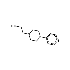 NCCN1CCN(c2ccncc2)CC1